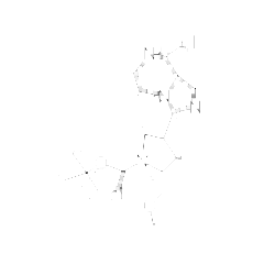 COC[C@H]1CC(c2ncc3c(Cl)nccn23)CN1C(=O)OC(C)(C)C